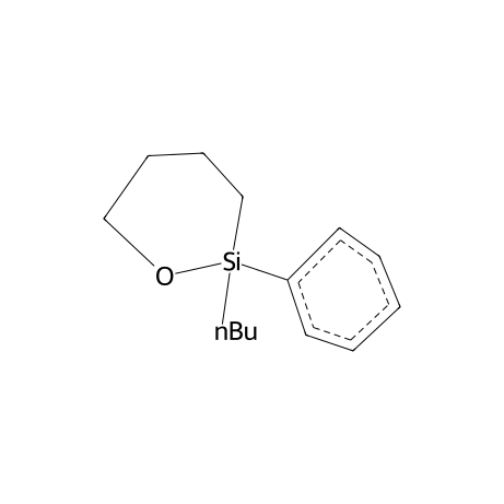 CCCC[Si]1(c2ccccc2)CCCCO1